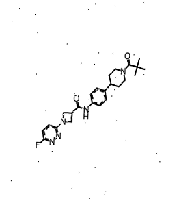 CC(C)(C)C(=O)N1CCC(c2ccc(NC(=O)C3CN(c4ccc(F)nn4)C3)cc2)CC1